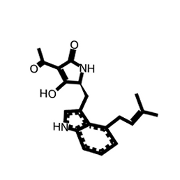 CC(=O)C1=C(O)[C@H](Cc2c[nH]c3cccc(CC=C(C)C)c23)NC1=O